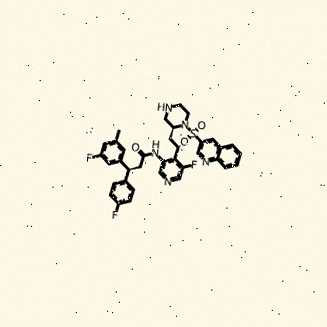 Cc1cc(F)cc([C@@H](CC(=O)Nc2cncc(F)c2CC[C@H]2CNCCN2S(=O)(=O)c2cnc3ccccc3c2)c2ccc(F)cc2)c1